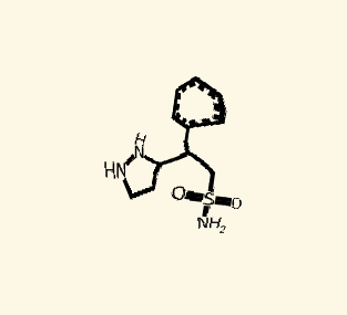 NS(=O)(=O)CC(c1ccccc1)C1CCNN1